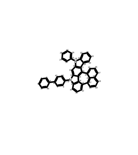 c1ccc(-c2ccc(-n3c4cccc5c4c4c(c6c7ccccc7n(-c7ccccc7)c6cc43)-c3cccc4cccc-5c34)cc2)cc1